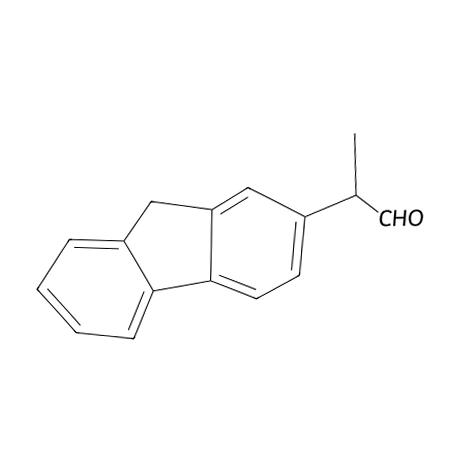 CC(C=O)c1ccc2c(c1)Cc1ccccc1-2